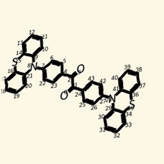 O=C(C(=O)c1ccc(N2c3ccccc3Sc3ccccc32)cc1)c1ccc(N2c3ccccc3Sc3ccccc32)cc1